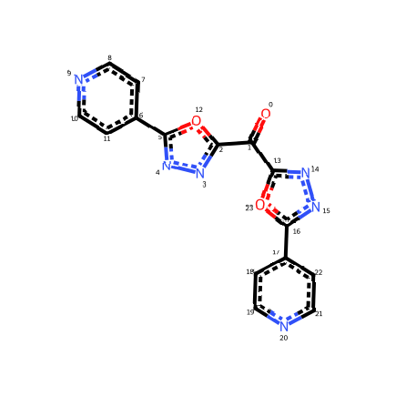 O=C(c1nnc(-c2ccncc2)o1)c1nnc(-c2ccncc2)o1